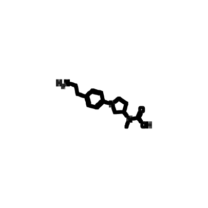 CN(C(=O)O)C1CCN(c2ccc(CCN)cc2)C1